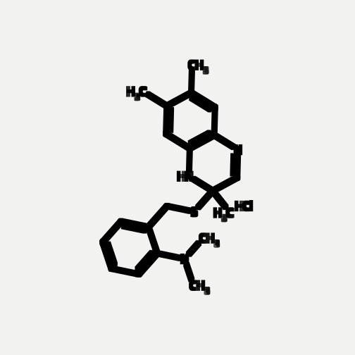 Cc1cc2c(cc1C)NC(C)(SCc1ccccc1N(C)C)C=N2.Cl